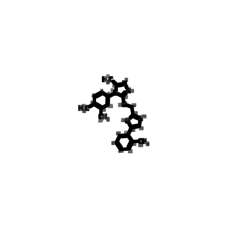 Cc1ccc(-n2c(C)nnc2OCc2ncc(-c3ccccc3C)o2)cc1C